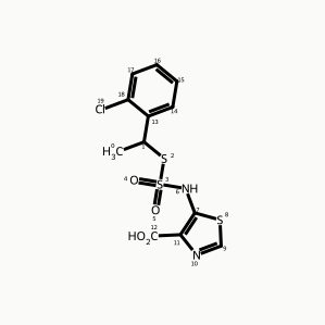 CC(SS(=O)(=O)Nc1scnc1C(=O)O)c1ccccc1Cl